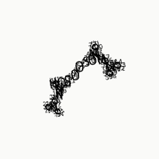 OC(CSCCOCCOCCSCC(O)CN(/N=C/c1ccc(N(c2ccccc2)c2ccccc2)cc1)c1ccccc1)CN(/N=C/c1ccc(N(c2ccccc2)c2ccccc2)cc1)c1ccccc1